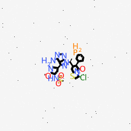 COc1ncc(-c2nn([C@@H](C)c3cc4scc(Cl)n4c(=O)c3-c3cccc(P)c3)c3ncnc(N)c23)cc1NS(C)(=O)=O